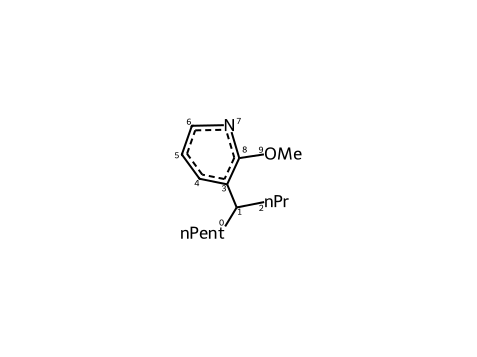 CCCCCC(CCC)c1cccnc1OC